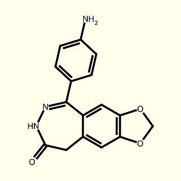 Nc1ccc(C2=NNC(=O)Cc3cc4c(cc32)OCO4)cc1